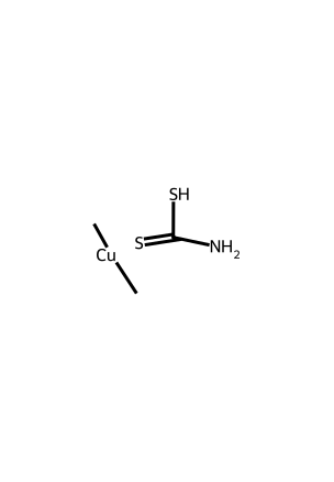 NC(=S)S.[CH3][Cu][CH3]